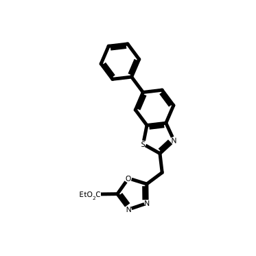 CCOC(=O)c1nnc(Cc2nc3ccc(-c4ccccc4)cc3s2)o1